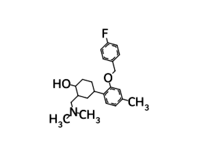 Cc1ccc(C2CCC(O)C(CN(C)C)C2)c(OCc2ccc(F)cc2)c1